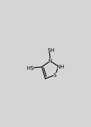 SC1=CSNN1S